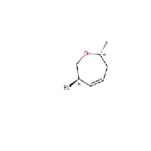 CC[C@@H]1C=CC[C@@H](C)OC1